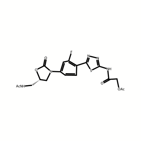 CC(=O)NC[C@H]1CN(c2ccc(-c3nnc(NC(=O)COC(C)=O)s3)c(F)c2)C(=O)O1